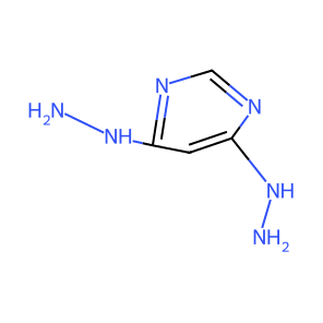 NNc1cc(NN)ncn1